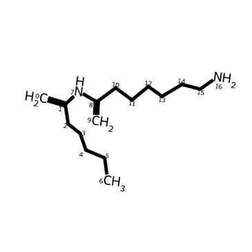 C=C(CCCCC)NC(=C)CCCCCCN